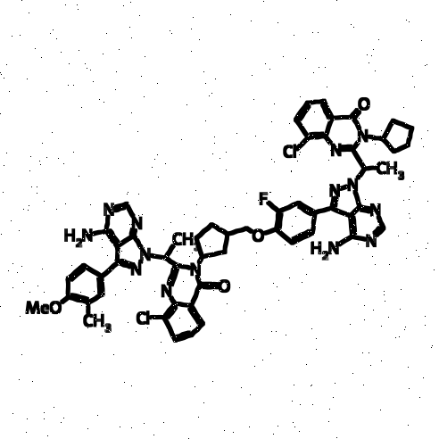 COc1ccc(-c2nn(C(C)c3nc4c(Cl)cccc4c(=O)n3C3CCC(COc4ccc(-c5nn(C(C)c6nc7c(Cl)cccc7c(=O)n6C6CCCC6)c6ncnc(N)c56)cc4F)C3)c3ncnc(N)c23)cc1C